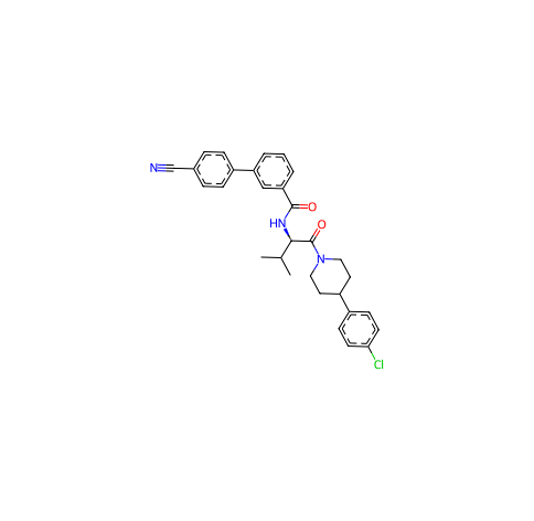 CC(C)[C@@H](NC(=O)c1cccc(-c2ccc(C#N)cc2)c1)C(=O)N1CCC(c2ccc(Cl)cc2)CC1